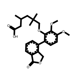 COc1ccc(-c2cccc3c2COC3=O)c(OCC(C)(C)CC(C)CC(=O)O)c1OC